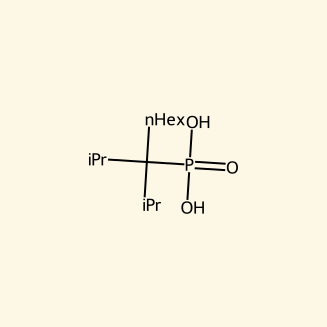 CCCCCCC(C(C)C)(C(C)C)P(=O)(O)O